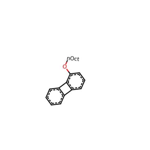 CCCCCCCCOc1cccc2c1-c1ccccc1-2